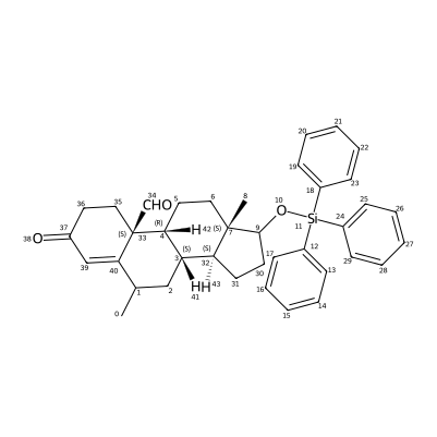 CC1C[C@@H]2[C@@H](CC[C@]3(C)C(O[Si](c4ccccc4)(c4ccccc4)c4ccccc4)CC[C@@H]23)[C@@]2(C=O)CCC(=O)C=C12